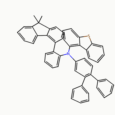 CC1(C)c2ccccc2-c2c(-c3ccccc3N(c3ccc(-c4ccccc4)c(-c4ccccc4)c3)c3cccc4sc5ccccc5c34)cccc21